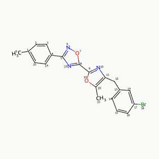 Cc1ccc(-c2noc(-c3nc(Cc4cccc(Br)c4)c(C)o3)n2)cc1